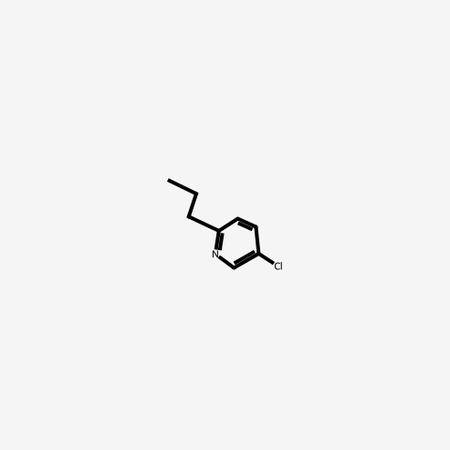 CCCc1ccc(Cl)cn1